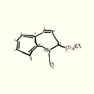 CCOC(=O)C1C=Cc2ccccc2N1CC